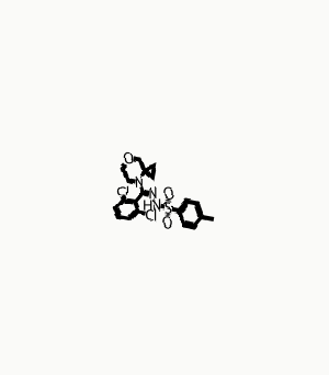 Cc1ccc(S(=O)(=O)N/N=C(\c2c(Cl)cccc2Cl)N2CCOCC23CC3)cc1